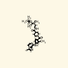 Cc1cc(Nc2nccn3c(I)cnc23)ccc1C(=O)N1CCC(C(=O)NCCN(C)C(=O)OC(C)(C)C)CC1